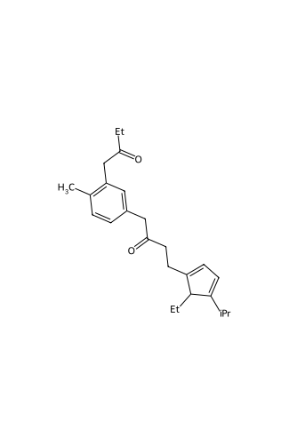 CCC(=O)Cc1cc(CC(=O)CCC2=CC=C(C(C)C)C2CC)ccc1C